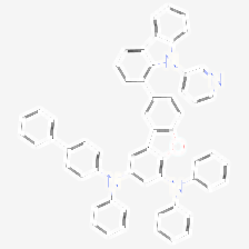 c1ccc(-c2ccc(N(c3ccccc3)c3cc(N(c4ccccc4)c4ccccc4)c4oc5ccc(-c6cccc7c8ccccc8n(-c8cccnc8)c67)cc5c4c3)cc2)cc1